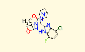 CC1(NC(=O)CN2C3CC2CN(Cc2nc4c(Cl)ccc(F)c4[nH]2)C3)COC1